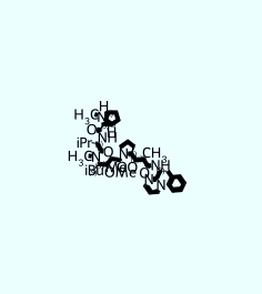 CC[C@H](C)[C@@H]([C@H](CC(=O)N1CCC[C@H]1[C@H](OC)[C@@H](C)C(=O)N[C@H](Cc1ccccc1)c1ncccn1)OC)N(C)C(=O)[C@@H](NC(=O)[C@@H]1[C@H]2CC[C@H](C2)N1C)C(C)C